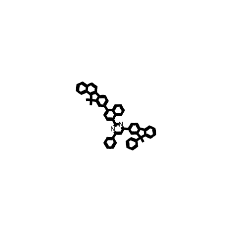 CC1(C)c2cc(-c3ccc(-c4nc(-c5ccccc5)cc(-c5ccc6c(c5)C(C)(c5ccccc5)c5ccccc5-6)n4)c4ccccc34)ccc2-c2ccc3ccccc3c21